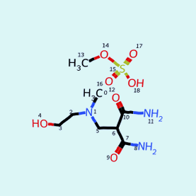 CN(CCO)CC(C(N)=O)C(N)=O.COS(=O)(=O)O